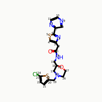 O=C(Cc1csc(-c2cnccn2)n1)NCC1CN(Cc2ccc(Cl)s2)CCO1